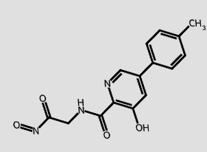 Cc1ccc(-c2cnc(C(=O)NCC(=O)N=O)c(O)c2)cc1